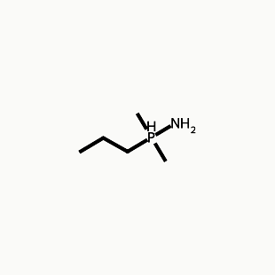 CCC[PH](C)(C)N